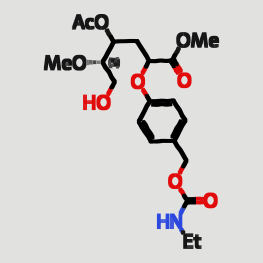 CCNC(=O)OCc1ccc(OC(CC(OC(C)=O)[C@H](CO)OC)C(=O)OC)cc1